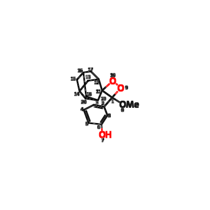 COC1(c2cccc(O)c2)OOC12C1CC3CC(C1)CC2C3